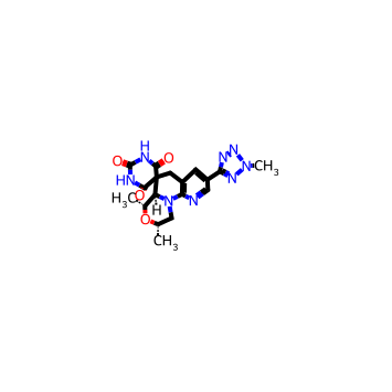 C[C@H]1CN2c3ncc(-c4nnn(C)n4)cc3CC3(C(=O)NC(=O)NC3=O)[C@@H]2[C@@H](C)O1